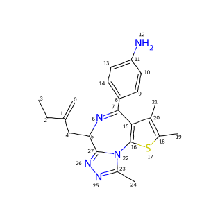 C=C(CC)CC1N=C(c2ccc(N)cc2)c2c(sc(C)c2C)-n2c(C)nnc21